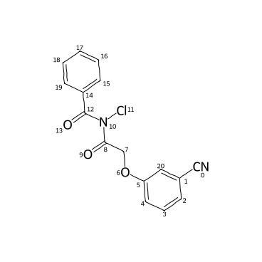 N#Cc1cccc(OCC(=O)N(Cl)C(=O)c2ccccc2)c1